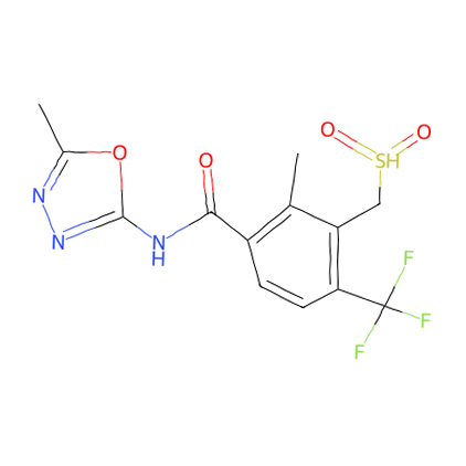 Cc1nnc(NC(=O)c2ccc(C(F)(F)F)c(C[SH](=O)=O)c2C)o1